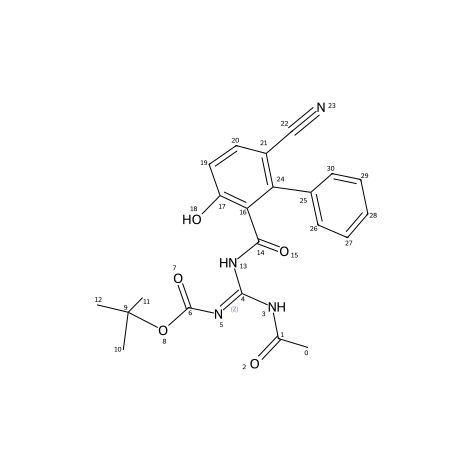 CC(=O)N/C(=N/C(=O)OC(C)(C)C)NC(=O)c1c(O)ccc(C#N)c1-c1ccccc1